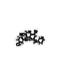 CN(c1cccnc1)c1cc(Br)c2ncc(C#N)c(Nc3cccc(Cl)c3)c2c1